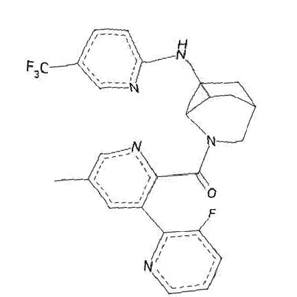 Cc1cnc(C(=O)N2CC3CCC2C(Nc2ccc(C(F)(F)F)cn2)C3)c(-c2ncccc2F)c1